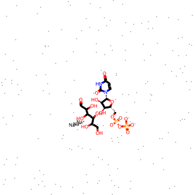 O=CC(O)C(O)C(O)C(O)CO.O=c1ccn([C@@H]2O[C@H](COP(=O)([O-])OP(=O)([O-])[O-])[C@@H](O)[C@H]2O)c(=O)[nH]1.[Na+].[Na+].[Na+]